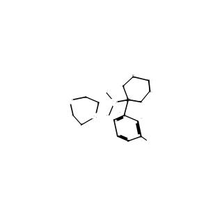 C1COCCN1.CN(C)C1(c2cccc(O)c2)CCCCC1